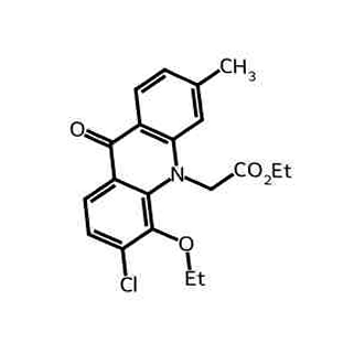 CCOC(=O)Cn1c2cc(C)ccc2c(=O)c2ccc(Cl)c(OCC)c21